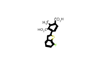 Cc1c(C(=O)O)ccc(-c2cc3cccc(F)c3s2)c1C(=O)O